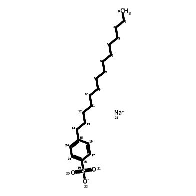 CCCCCCCCCCCCCCCc1ccc(S(=O)(=O)[O-])cc1.[Na+]